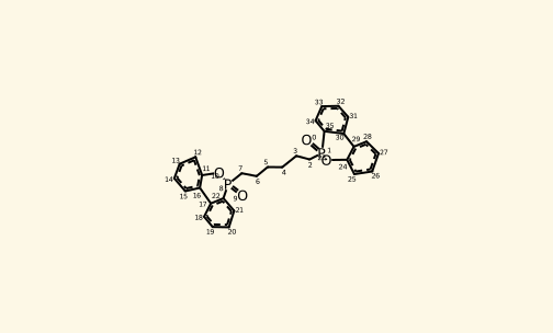 O=P1(CCCCCCP2(=O)Oc3ccccc3-c3ccccc32)Oc2ccccc2-c2ccccc21